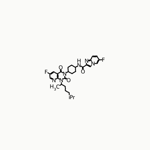 CC(C)CCCC(C)n1c(=O)n(C2CCC(NC(=O)c3cn4cc(F)ccc4n3)CC2)c(=O)c2cc(F)cnc21